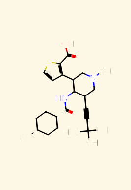 CN1CC(C#CC(C)(C)C)C(NC(=O)[C@H]2CC[C@H](C)CC2)C(c2ccsc2C(=O)O)C1